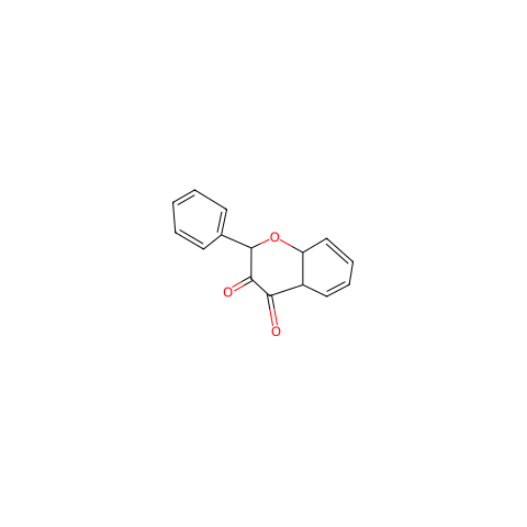 O=C1C(=O)C2C=CC=CC2OC1c1ccccc1